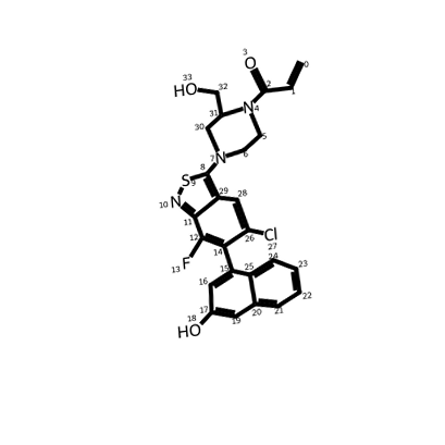 C=CC(=O)N1CCN(c2snc3c(F)c(-c4cc(O)cc5ccccc45)c(Cl)cc23)CC1CO